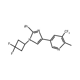 Cc1ncc(-c2cn(C3CC(F)(F)C3)c(C(C)C)n2)cc1C(F)(F)F